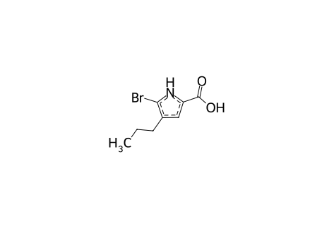 CCCc1cc(C(=O)O)[nH]c1Br